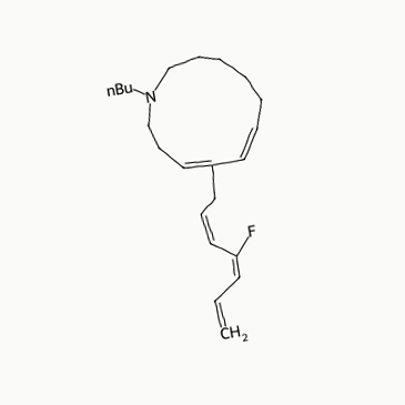 C=C/C=C(F)\C=C/CC1=C/CCN(CCCC)CCCCC/C=C\1